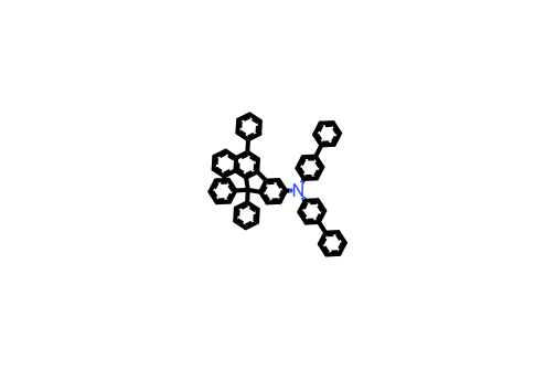 c1ccc(-c2ccc(N(c3ccc(-c4ccccc4)cc3)c3ccc4c(c3)-c3cc(-c5ccccc5)c5ccccc5c3C4(c3ccccc3)c3ccccc3)cc2)cc1